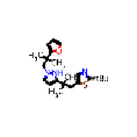 CC(C)(C)c1ncc(CC(C)(C)c2cc[n+](CC(C)(C)c3ccco3)[nH]2)s1